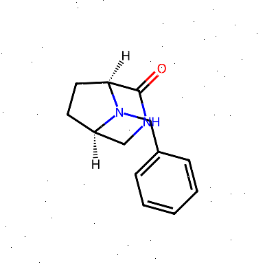 O=C1NC[C@H]2CC[C@@H]1N2Cc1ccccc1